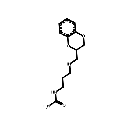 NC(=O)NCCCNCC1COc2ccccc2O1